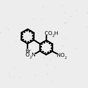 O=C(O)c1cc([N+](=O)[O-])cc([N+](=O)[O-])c1-c1ccccc1Br